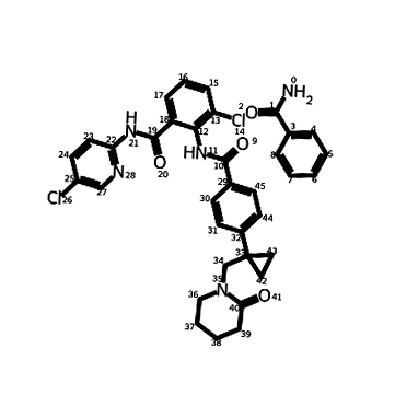 NC(=O)c1ccccc1.O=C(Nc1c(Cl)cccc1C(=O)Nc1ccc(Cl)cn1)c1ccc(C2(CN3CCCCC3=O)CC2)cc1